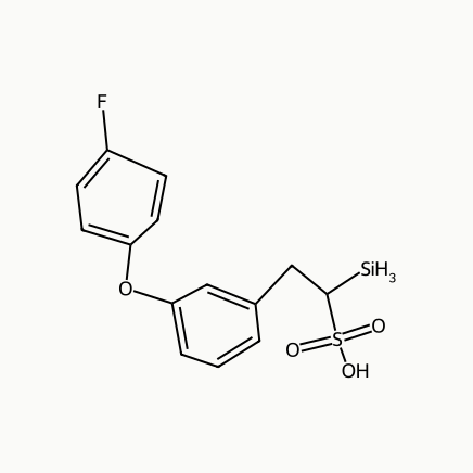 O=S(=O)(O)C([SiH3])Cc1cccc(Oc2ccc(F)cc2)c1